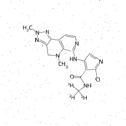 [2H]C([2H])([2H])NC(=O)c1c(Nc2nccc3c2N(C)Cc2nn(C)nc2-3)ccnc1Cl